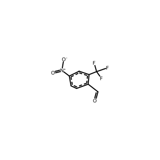 O=Cc1ccc([N+](=O)[O-])cc1C(F)(F)F